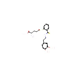 N[C@@H](CCC(=O)Sc1ccccc1C(=S)NCCc1ccc(O)c(O)c1)C(=O)O